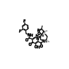 CC1=NO[C@@]2(CC[C@H](C)N3C[C@H]2n2cc(C(=O)NCc4ccc(F)cc4F)c(=O)c(O)c2C3=O)[C@H]1C